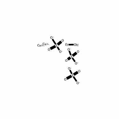 CCO.O=S(=O)([O-])[O-].O=S(=O)([O-])[O-].O=S(=O)([O-])[O-].[Ce+3].[Ce+3]